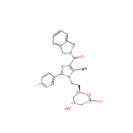 CC(C)c1c(C(=O)N2Cc3ccccc3C2)nc(-c2ccc(F)cc2)n1CC[C@@H]1C[C@@H](O)CC(=O)O1